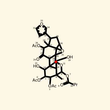 CC(=O)OC1C(OC(C)=O)C2(C)C(OC(=O)C(C)C)OCC3(C1O)C2CC(O)C1(C)C3C(=O)C(OC(C)=O)C2(C)C(c3ccoc3)CC3OC321